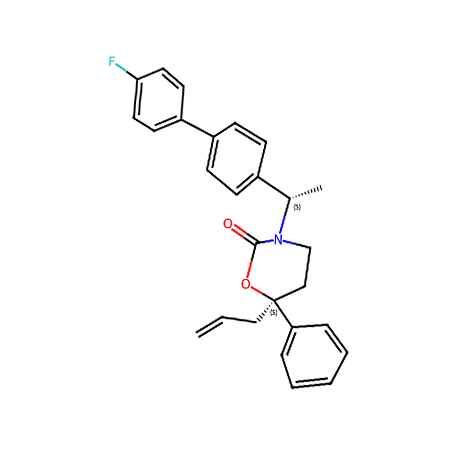 C=CC[C@@]1(c2ccccc2)CCN([C@@H](C)c2ccc(-c3ccc(F)cc3)cc2)C(=O)O1